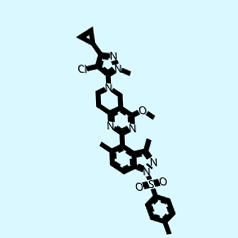 COc1nc(-c2c(C)ccc3c2c(C)nn3S(=O)(=O)c2ccc(C)cc2)nc2c1CN(c1c(Cl)c(C3CC3)nn1C)CC2